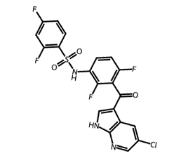 O=C(c1c(F)ccc(NS(=O)(=O)c2ccc(F)cc2F)c1F)c1c[nH]c2ncc(Cl)cc12